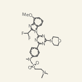 COc1cccc2c1nc(C(F)F)n2-c1nc(-c2ccc(N(C)S(=O)(=O)CCN(C)C)cc2)nc(N2CCOCC2)n1